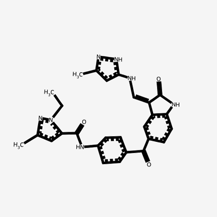 CCn1nc(C)cc1C(=O)Nc1ccc(C(=O)c2ccc3c(c2)/C(=C/Nc2cc(C)n[nH]2)C(=O)N3)cc1